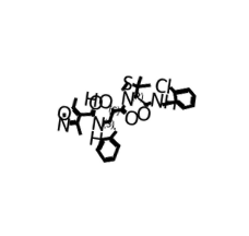 Cc1noc(C)c1C(=O)N[C@@H](Cc1ccccc1)[C@H](O)C(=O)N1CSC(C)(C)[C@H]1C(=O)NCc1ccccc1Cl